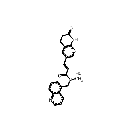 CN(Cc1cccc2ncccc12)C(=O)/C=C/c1cnc2c(c1)CCC(=O)N2.Cl